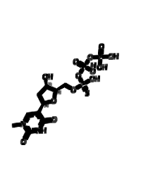 Cn1cc([C@H]2C[C@@H](O)[C@@H](COP(O)(=S)OP(=O)(O)OP(=O)(O)O)O2)c(=O)[nH]c1=O